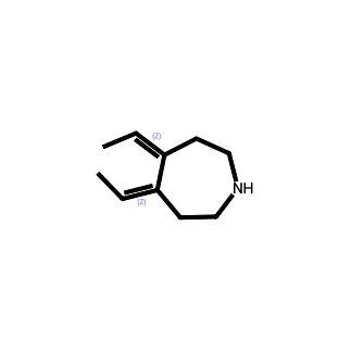 C/C=C1/CCNCC/C1=C/C